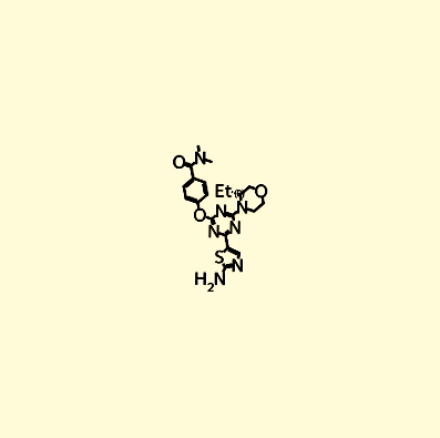 CC[C@@H]1COCCN1c1nc(Oc2ccc(C(=O)N(C)C)cc2)nc(-c2cnc(N)s2)n1